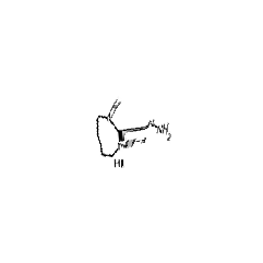 I.NN=C1NCCCCN1